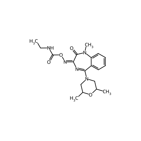 CCNC(=O)ON=c1nc(N2CC(C)OC(C)C2)c2ccccc2n(C)c1=O